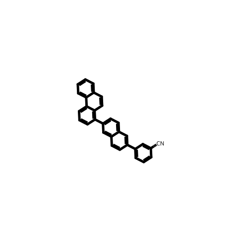 N#Cc1cccc(-c2ccc3cc(-c4cccc5c4ccc4ccccc45)ccc3c2)c1